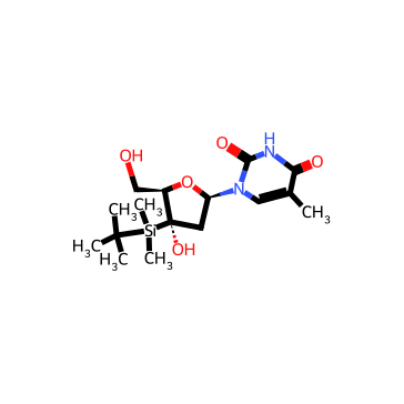 Cc1cn([C@H]2C[C@@](O)([Si](C)(C)C(C)(C)C)[C@@H](CO)O2)c(=O)[nH]c1=O